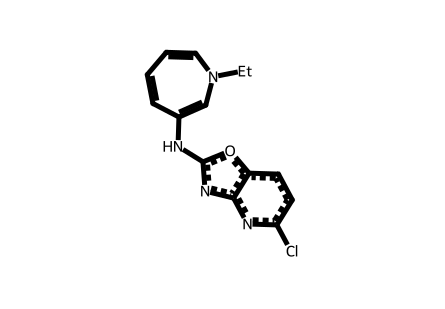 CCN1C=CC=CC(Nc2nc3nc(Cl)ccc3o2)=C1